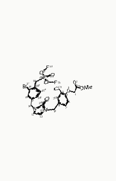 COC(=O)COc1ccc(Cn2ccn(Cc3ccc(CP(=O)(OF)OF)c(Br)c3)c2=O)cc1Cl